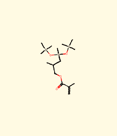 C=C(C)C(=O)OCC(C)C[Si](C)(O[Si](C)(C)C)O[Si](C)(C)C